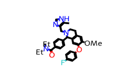 CCN(CC)C(=O)c1ccc(C2c3cc(Oc4ccc(F)cc4)c(OC)cc3CCN2Cc2nc[nH]c2C)cc1